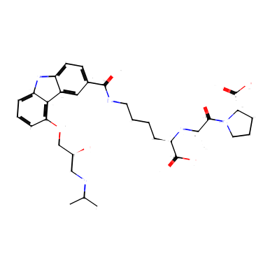 CC(C)NC[C@H](O)COc1cccc2[nH]c3ccc(C(=O)NCCCC[C@@H](N[C@@H](C)C(=O)N4CCC[C@H]4C(=O)O)C(=O)O)cc3c12